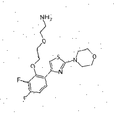 NCCOCCOc1c(-c2csc(N3CCOCC3)n2)ccc(F)c1F